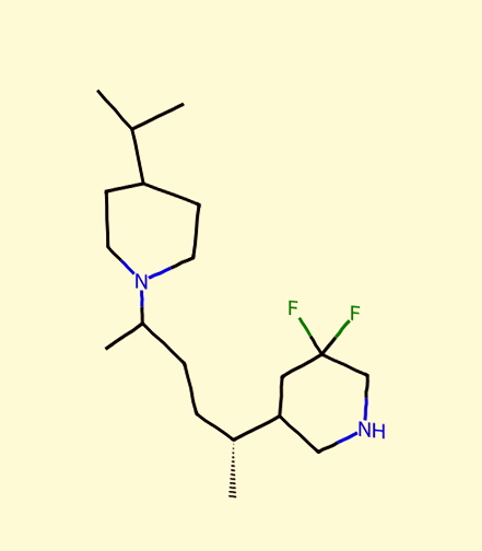 CC(C)C1CCN(C(C)CC[C@@H](C)C2CNCC(F)(F)C2)CC1